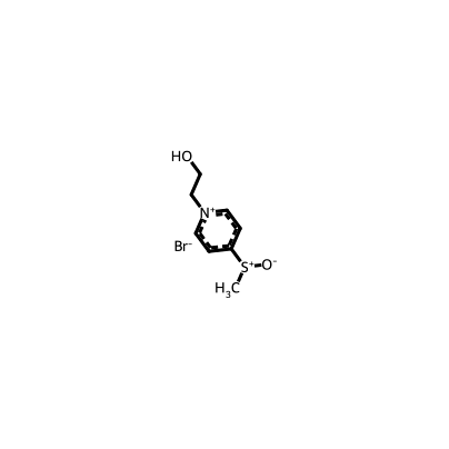 C[S+]([O-])c1cc[n+](CCO)cc1.[Br-]